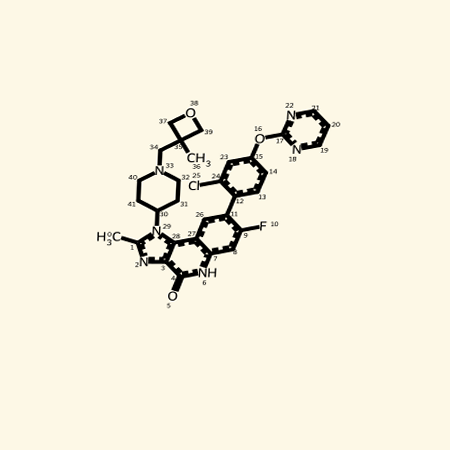 Cc1nc2c(=O)[nH]c3cc(F)c(-c4ccc(Oc5ncccn5)cc4Cl)cc3c2n1C1CCN(CC2(C)COC2)CC1